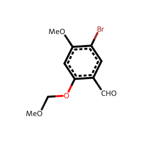 COCOc1cc(OC)c(Br)cc1C=O